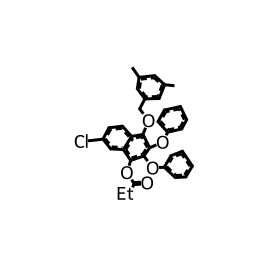 CCC(=O)Oc1c(Oc2ccccc2)c(Oc2ccccc2)c(OCc2cc(C)cc(C)c2)c2ccc(Cl)cc12